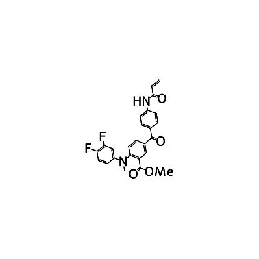 C=CC(=O)Nc1ccc(C(=O)c2ccc(N(C)c3ccc(F)c(F)c3)c(C(=O)OC)c2)cc1